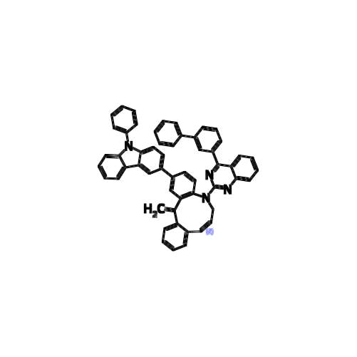 C=C1c2ccccc2/C=C\CN(c2nc(-c3cccc(-c4ccccc4)c3)c3ccccc3n2)c2ccc(-c3ccc4c(c3)c3ccccc3n4-c3ccccc3)cc21